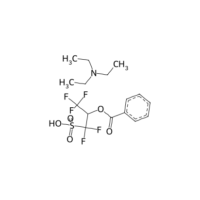 CCN(CC)CC.O=C(OC(C(F)(F)F)C(F)(F)S(=O)(=O)O)c1ccccc1